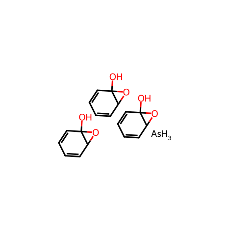 OC12C=CC=CC1O2.OC12C=CC=CC1O2.OC12C=CC=CC1O2.[AsH3]